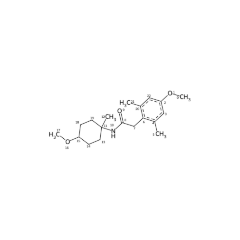 COc1cc(C)c(CC(=O)NC2(C)CCC(OC)CC2)c(C)c1